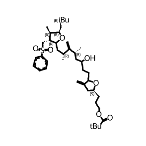 C=C1C[C@H](CCCOC(=O)C(C)(C)C)OC1CCC(O)C[C@@H](C)C(=C)[C@H](C)CC1O[C@H](C[C@H](C)CC)[C@H](C)[C@H]1CS(=O)(=O)c1ccccc1